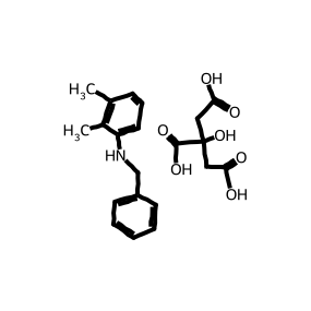 Cc1cccc(NCc2ccccc2)c1C.O=C(O)CC(O)(CC(=O)O)C(=O)O